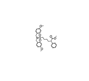 COC(=O)C(CCCCS(=O)(=O)N(Cc1ccc(OC)cc1)Cc1ccc(OC)cc1)c1ccccc1